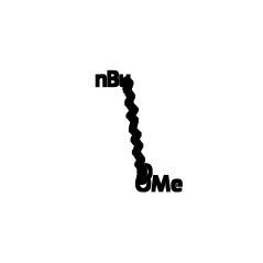 CCCC/C=C/CCCCCCCCCCCCOCOC